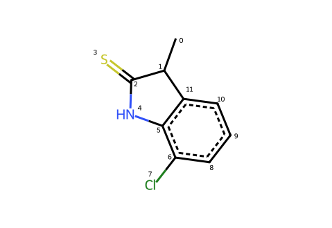 CC1C(=S)Nc2c(Cl)cccc21